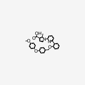 COc1ccc(Oc2ccc(COc3ccccc3-c3cccc(-n4ccc(C(=O)O)c4C)n3)cc2)cc1